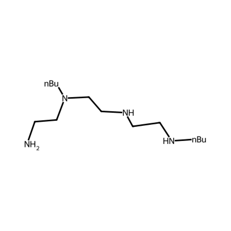 CCCCNCCNCCN(CCN)CCCC